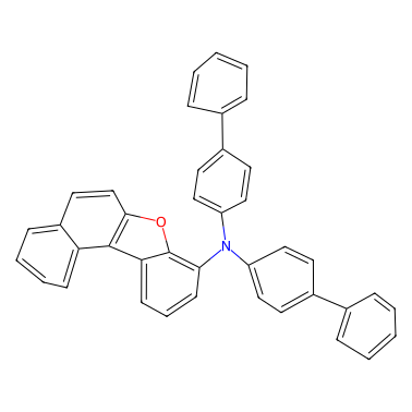 c1ccc(-c2ccc(N(c3ccc(-c4ccccc4)cc3)c3cccc4c3oc3ccc5ccccc5c34)cc2)cc1